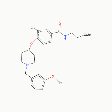 CCOc1cccc(CN2CCC(Oc3ccc(C(=O)NCCOC)cc3Cl)CC2)c1